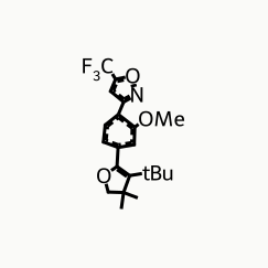 COc1cc(C2=C(C(C)(C)C)C(C)(C)CO2)ccc1-c1cc(C(F)(F)F)on1